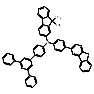 CC1(C)c2ccccc2-c2ccc(N(c3ccc(-c4cc(-c5ccccc5)cc(-c5ccccc5)c4)cc3)c3ccc(-c4ccc5sc6ccccc6c5c4)cc3)cc21